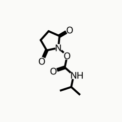 CC(C)NC(=O)ON1C(=O)CCC1=O